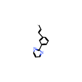 [CH2]/C=C/c1cccc(-c2ncccn2)c1